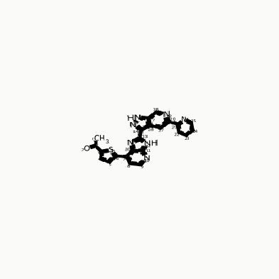 CC(=O)c1ccc(-c2ccnc3[nH]c(-c4n[nH]c5cnc(-c6ccccn6)cc45)nc23)s1